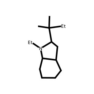 CCN1C2CCCCC2CC1C(C)(C)CC